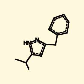 CC(C)c1cc(Cc2ccccc2)n[nH]1